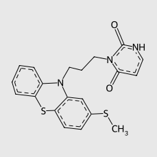 CSc1ccc2c(c1)N(CCCn1c(=O)cc[nH]c1=O)c1ccccc1S2